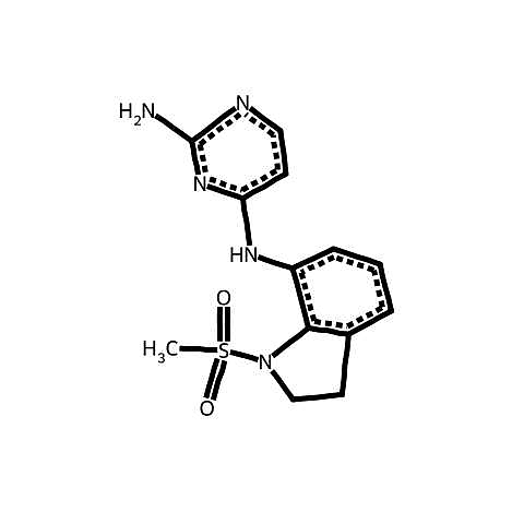 CS(=O)(=O)N1CCc2cccc(Nc3ccnc(N)n3)c21